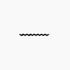 [CH2]CCCCCCCCCC=CCCC=CC